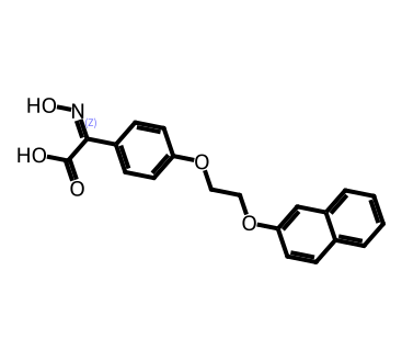 O=C(O)/C(=N\O)c1ccc(OCCOc2ccc3ccccc3c2)cc1